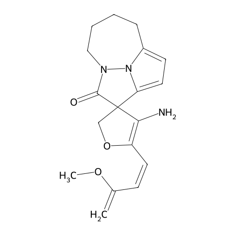 C=C(/C=C\C1=C(N)C2(CO1)C(=O)N1CCCCc3ccc2n31)OC